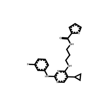 O=C(NCCCNc1nc(Nc2cccc(F)c2)ncc1C1CC1)c1cccs1